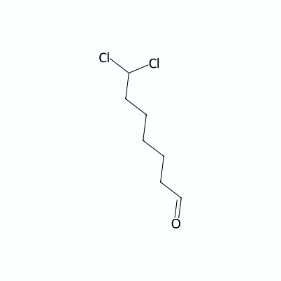 O=CCCCCCC(Cl)Cl